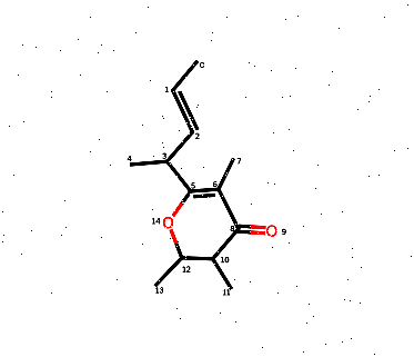 C/C=C/C(C)C1=C(C)C(=O)C(C)C(C)O1